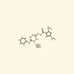 Cc1cc(C)c(C(=O)CCN2CCN(Cc3ccccc3)CC2)s1.Cl.Cl